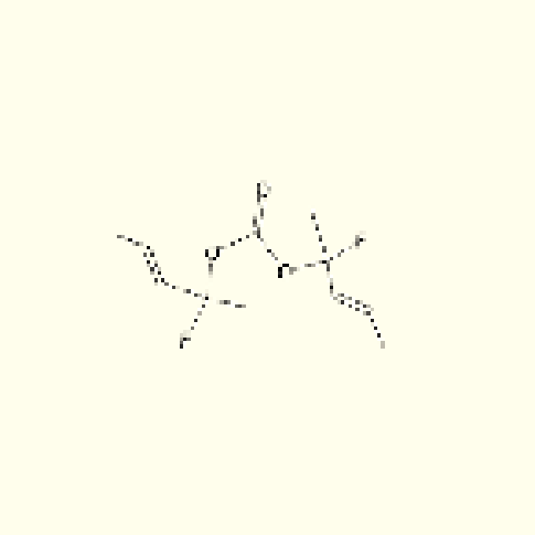 CC=CC(C)(F)OC(=O)OC(C)(F)C=CC